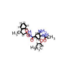 CCC(CC)O[C@@H]1C=C(C(=O)NOC(=O)CC(C)c2ccccc2)C[C@H](N)[C@H]1NC(C)=O